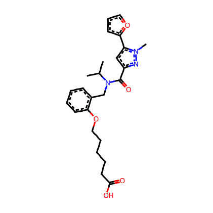 CC(C)N(Cc1ccccc1OCCCCCC(=O)O)C(=O)c1cc(-c2ccco2)n(C)n1